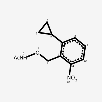 CC(=O)NOCc1c(C2CC2)cccc1[N+](=O)[O-]